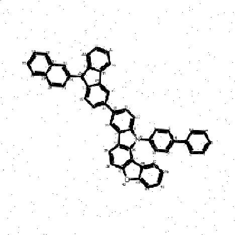 c1ccc(-c2ccc(-n3c4ccc(-c5ccc6c(c5)-c5ccccc5C6c5ccc6ccccc6c5)cc4c4ccc5oc6ccccc6c5c43)cc2)cc1